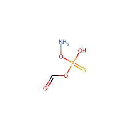 NOP(O)(=S)OC=O